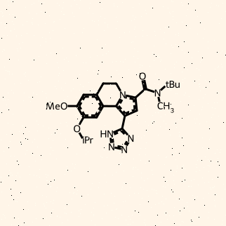 COc1cc2c(cc1OC(C)C)-c1c(-c3nnn[nH]3)cc(C(=O)N(C)C(C)(C)C)n1CC2